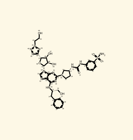 NS(=O)(=O)c1cccc(NC(=O)N[C@@H]2CCN(c3nc(N[C@H](CO)Cc4ccccc4)c4ncn([C@@H]5O[C@H](c6nnn(CCO)n6)[C@@H](O)[C@H]5O)c4n3)C2)c1